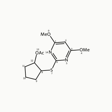 COc1cc(OC)nc(SC2CCCC2OC(C)=O)n1